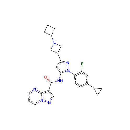 O=C(Nc1cc(C2CN(C3CCC3)C2)nn1-c1ccc(C2CC2)cc1F)c1cnn2cccnc12